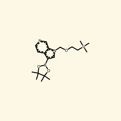 CC1(C)OB(c2cn(COCC[Si](C)(C)C)c3cnccc23)OC1(C)C